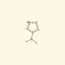 CN(C)c1cc[nH]c1